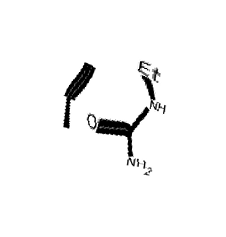 C#CC.CCNC(N)=O